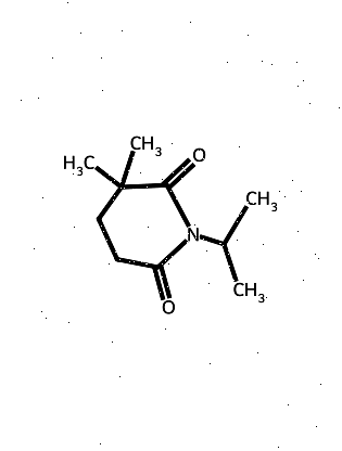 CC(C)N1C(=O)CCC(C)(C)C1=O